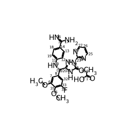 CC(=O)O.COc1cc([C@H](Nc2ccc(C(=N)N)cc2)c2nn(-c3ncccn3)c(=O)[nH]2)cc(F)c1OC